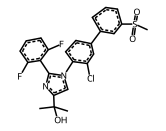 CC(C)(O)c1cn(-c2ccc(-c3cccc(S(C)(=O)=O)c3)cc2Cl)c(-c2c(F)cccc2F)n1